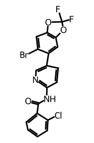 O=C(Nc1ccc(-c2cc3c(cc2Br)OC(F)(F)O3)cn1)c1ccccc1Cl